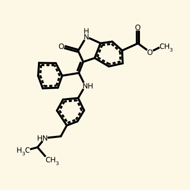 COC(=O)c1ccc2c(c1)NC(=O)C2=C(Nc1ccc(CNC(C)C)cc1)c1ccccc1